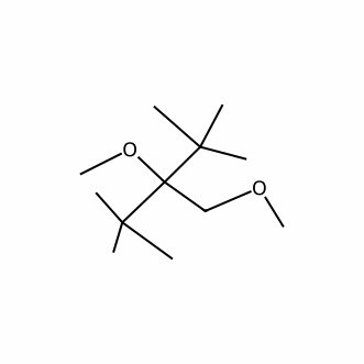 COCC(OC)(C(C)(C)C)C(C)(C)C